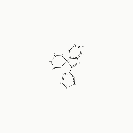 O=C(c1ccccc1)C1(c2ccccc2)COCOC1